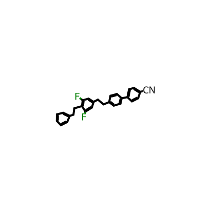 N#Cc1ccc(-c2ccc(CCc3cc(F)c(CCc4ccccc4)c(F)c3)cc2)cc1